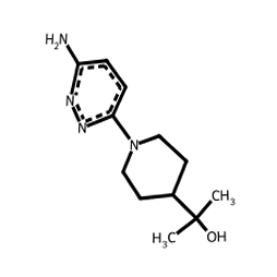 CC(C)(O)C1CCN(c2ccc(N)nn2)CC1